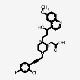 COc1ccc2nccc(C(O)CC[C@@H]3CCN(CC#Cc4ccc(F)cc4Cl)C[C@@H]3CC(=O)O)c2c1